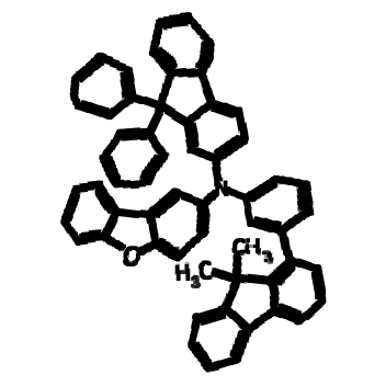 CC1(C)c2ccccc2-c2cccc(-c3cccc(N(c4ccc5c(c4)C(c4ccccc4)(c4ccccc4)c4ccccc4-5)c4ccc5oc6ccccc6c5c4)c3)c21